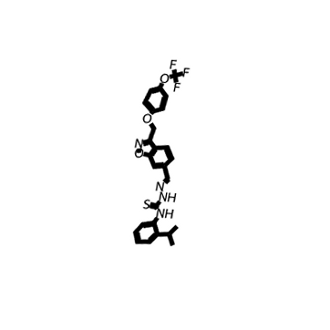 CC(C)c1ccccc1NC(=S)NN=Cc1ccc2c(COc3ccc(OC(F)(F)F)cc3)noc2c1